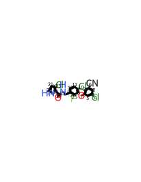 N#Cc1cc(Cl)cc(Oc2c(Cl)ccc(CNC(=O)c3[nH]ccc3Cl)c2F)c1